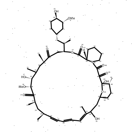 CO[C@@H]1C[C@H](C[C@@H](C)[C@@H]2CC(=O)[C@H](C)CC(C)[C@@H](O)[C@@H](OC)C(=O)[C@H](C)C[C@H](C)/C=C/C=C/C=C(\C)C(O)C[C@@H]3CC[C@@H](C)[C@@](O)(O3)C(=O)C(=O)N3CCCC[C@H]3C(=O)O2)CC[C@H]1O